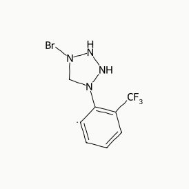 FC(F)(F)c1ccc[c]c1N1CN(Br)NN1